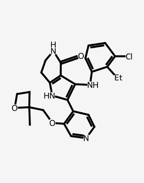 CCc1c(Cl)cccc1Nc1c(-c2ccncc2OCC2(C)CCO2)[nH]c2c1C(=O)NCC2